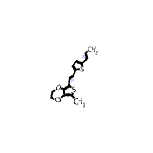 C/C=C/c1ccc(/C=C/c2sc(C)c3c2OCCO3)s1